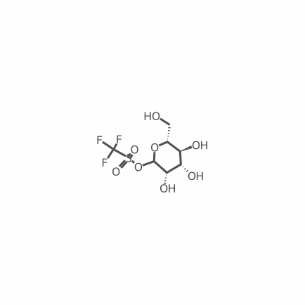 O=S(=O)(OC1O[C@H](CO)[C@@H](O)[C@H](O)[C@@H]1O)C(F)(F)F